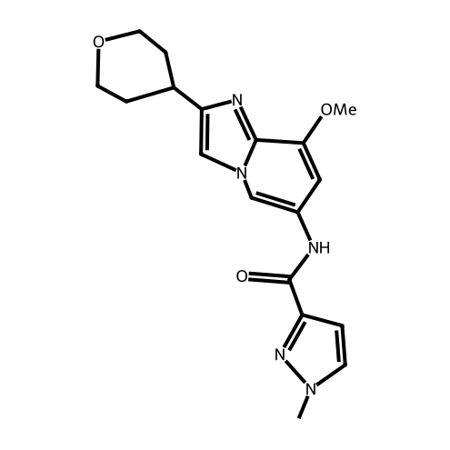 COc1cc(NC(=O)c2ccn(C)n2)cn2cc(C3CCOCC3)nc12